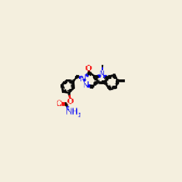 Cc1ccc2c3cnn(Cc4cccc(OC(N)=O)c4)c(=O)c3n(C)c2c1